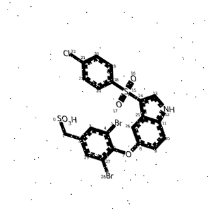 O=S(=O)(O)Cc1cc(Br)c(Oc2ccc3[nH]cc(S(=O)(=O)c4ccc(Cl)cc4)c3c2)c(Br)c1